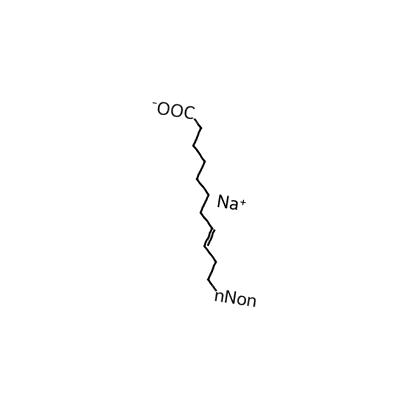 CCCCCCCCCCCC=CCCCCCCC(=O)[O-].[Na+]